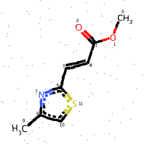 COC(=O)C=Cc1nc(C)cs1